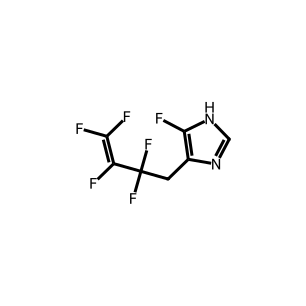 FC(F)=C(F)C(F)(F)Cc1nc[nH]c1F